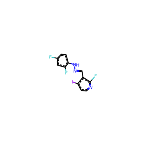 Fc1ccc(NN=Cc2c(I)ccnc2F)c(F)c1